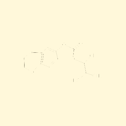 CC(C)C(Cl)OC(=O)Oc1ccc2c(c1)OCCO2